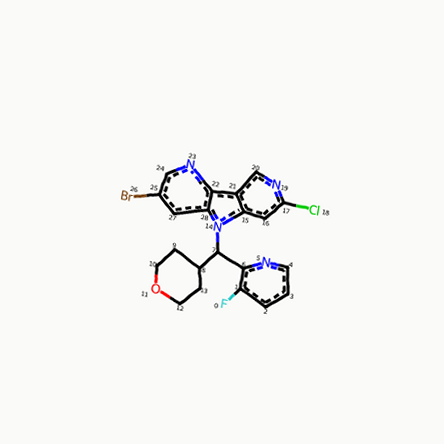 Fc1cccnc1C(C1CCOCC1)n1c2cc(Cl)ncc2c2ncc(Br)cc21